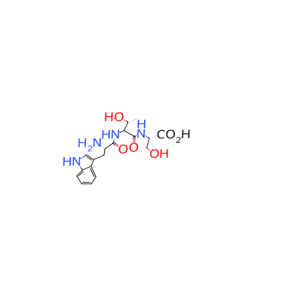 C[C@@H](O)[C@H](NC(=O)[C@@H](N)Cc1c[nH]c2ccccc12)C(=O)N[C@@H](CO)C(=O)O